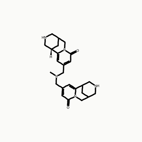 CN(Cc1cc2n(c(=O)c1)CC1CNCC2C1)Cc1cc2n(c(=O)c1)CC1CNC[C@@H]2C1